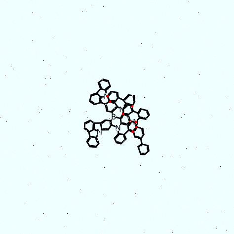 c1ccc(-c2ccc(N(c3cc4c5c(c3)N(c3ccccc3-c3ccccc3)c3cc6c(cc3B5c3cc5c7cccc8c9ccccc9n(c5cc3N4c3ccccc3-c3ccccc3)c87)c3cccc4c5ccccc5n6c43)c3ccccc3-c3ccccc3)cc2)cc1